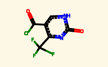 O=C(Cl)c1c[nH]c(=O)nc1C(F)(F)F